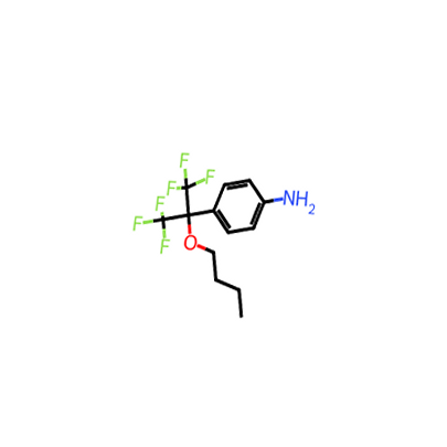 CCCCOC(c1ccc(N)cc1)(C(F)(F)F)C(F)(F)F